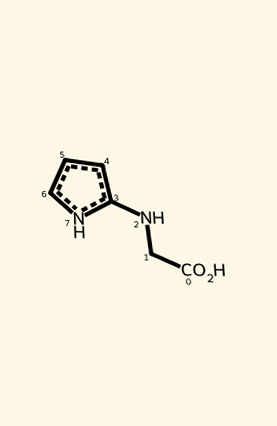 O=C(O)CNc1ccc[nH]1